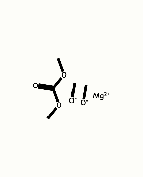 COC(=O)OC.C[O-].C[O-].[Mg+2]